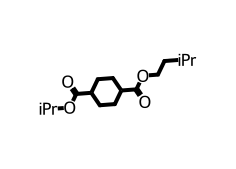 CC(C)CCOC(=O)C1CCC(C(=O)OC(C)C)CC1